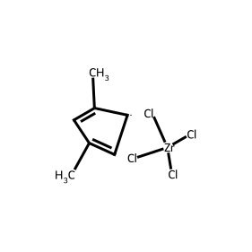 CC1=CC(C)=C[CH]1.[Cl][Zr]([Cl])([Cl])[Cl]